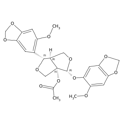 COc1cc2c(cc1O[C@H]1OC[C@@H]3[C@@H](c4cc5c(cc4OC)OCO5)OC[C@]13OC(C)=O)OCO2